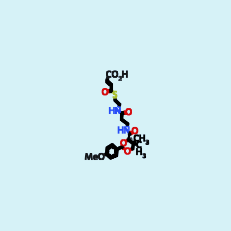 COc1ccc(C2OCC(C)(C)[C@H](C(=O)NCCC(=O)NCCSC(=O)C=CC(=O)O)O2)cc1